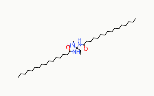 CCCCCCCCCCCCCCCC(=O)NC(CC)(NC)NC(=O)CCCCCCCCCCCCCCC